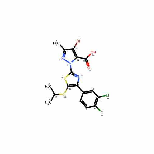 Cc1nn(-c2nc(-c3ccc(Cl)c(Cl)c3)c(SC(C)C)s2)c(C(=O)O)c1Br